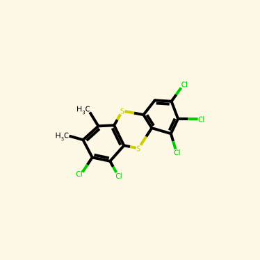 Cc1c(C)c2c(c(Cl)c1Cl)Sc1c(cc(Cl)c(Cl)c1Cl)S2